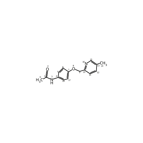 CC(=O)Nc1ccc(OCc2ccc(C)cn2)cc1